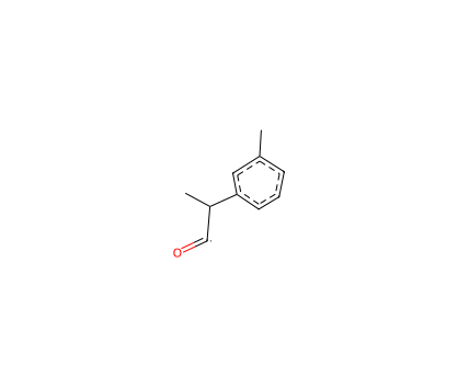 Cc1cccc(C(C)[C]=O)c1